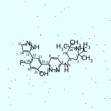 CC1(C)CC(Nc2ccc(-c3cc(-c4ccn[nH]4)c(F)cc3O)nn2)CC(C)(C)N1